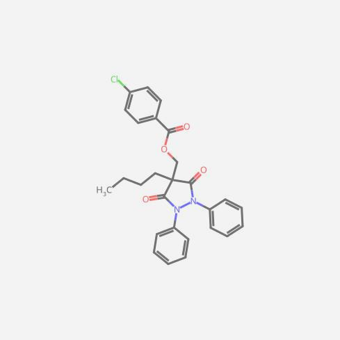 CCCCC1(COC(=O)c2ccc(Cl)cc2)C(=O)N(c2ccccc2)N(c2ccccc2)C1=O